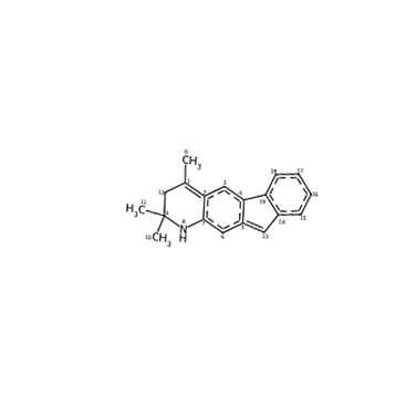 CC1=c2cc3c(cc2NC(C)(C)C1)=Cc1ccccc1-3